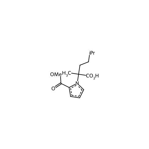 COC(=O)c1cccn1C(C)(CCC(C)C)C(=O)O